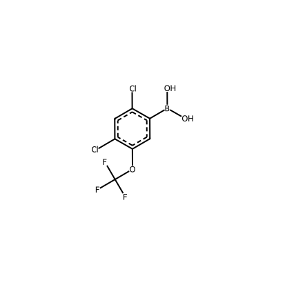 OB(O)c1cc(OC(F)(F)F)c(Cl)cc1Cl